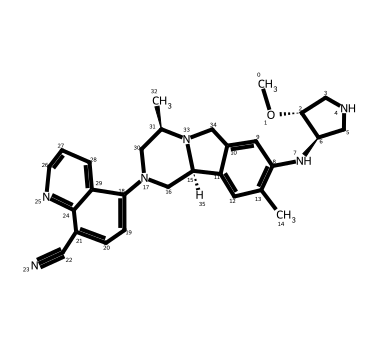 CO[C@@H]1CNC[C@H]1Nc1cc2c(cc1C)[C@H]1CN(c3ccc(C#N)c4ncccc34)C[C@@H](C)N1C2